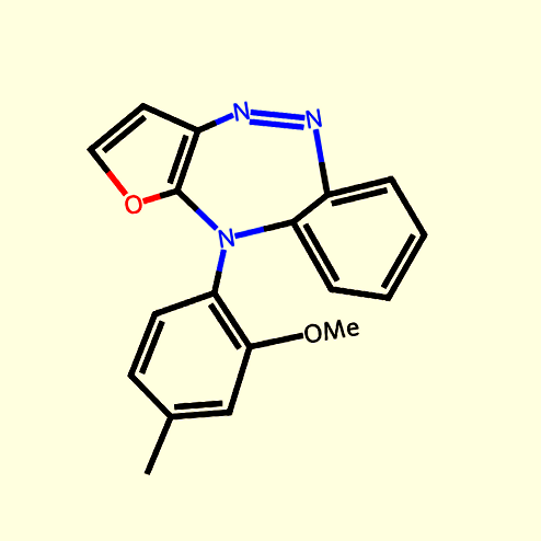 COc1cc(C)ccc1N1c2ccccc2N=Nc2ccoc21